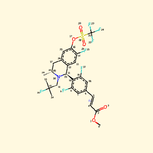 COC(=O)/C=C/c1cc(F)c([C@@H]2c3cc(F)c(OS(=O)(=O)C(F)(F)F)cc3C[C@@H](C)N2CC(C)(C)F)c(F)c1